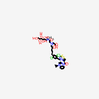 CN(C[C@H](O)[C@@H](O)[C@H](O)[C@H](O)CO)C(=O)CN(CCCCCc1cc(Cl)c(CN2CSC[C@H]2C(=O)N2CCN(C3CC3)c3ccccc32)cc1Cl)CC(=O)O